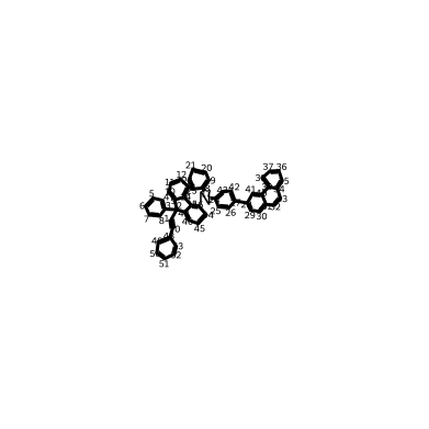 C(#CC1(c2ccccc2)c2ccccc2-c2c(N(c3ccccc3)c3ccc(-c4ccc5ccc6ccccc6c5c4)cc3)cccc21)c1ccccc1